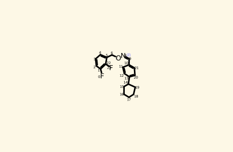 Fc1cccc(CO/N=[C]\c2ccc(C3CCCCC3)cc2)c1F